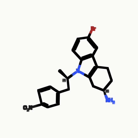 C[C@H](Cc1ccc([N+](=O)[O-])cc1)n1c2c(c3cc(Br)ccc31)CC[C@H](N)C2